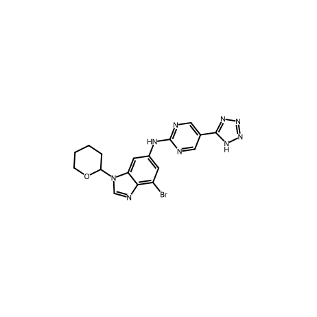 Brc1cc(Nc2ncc(-c3nnn[nH]3)cn2)cc2c1ncn2C1CCCCO1